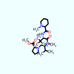 COC(=O)[C@@H]1CCCN1C[C@H](C(C)C)N(C)C(=O)[C@@H](NC(=O)C1CCCCN1C)C(C)(C)C